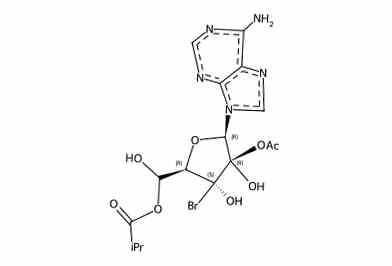 CC(=O)O[C@]1(O)[C@H](n2cnc3c(N)ncnc32)O[C@H](C(O)OC(=O)C(C)C)[C@]1(O)Br